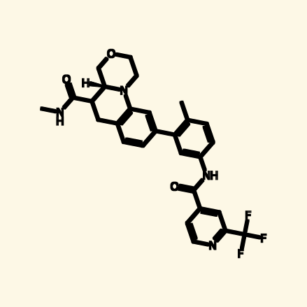 CNC(=O)C1Cc2ccc(-c3cc(NC(=O)c4ccnc(C(F)(F)F)c4)ccc3C)cc2N2CCOC[C@@H]12